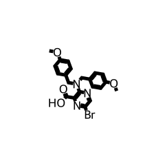 COc1ccc(CN(Cc2ccc(OC)cc2)c2ncc(Br)nc2C(=O)O)cc1